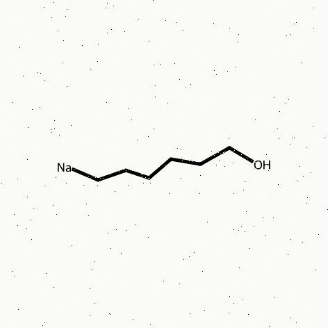 OCCCCC[CH2][Na]